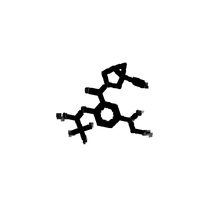 CC[S+]([O-])c1ccc(OC(C)C(F)(F)F)c(C(=O)N2CC3CC3(C#N)C2)c1